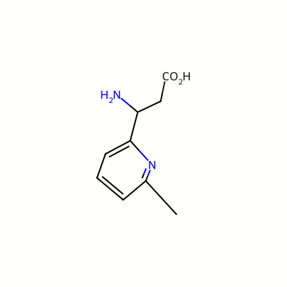 Cc1cccc(C(N)CC(=O)O)n1